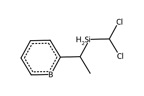 CC([SiH2]C(Cl)Cl)c1bcccc1